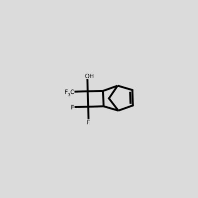 OC1(C(F)(F)F)C2C3C=CC(C3)C2C1(F)F